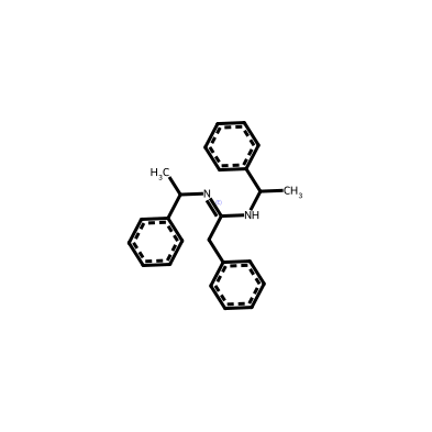 CC(/N=C(\Cc1ccccc1)NC(C)c1ccccc1)c1ccccc1